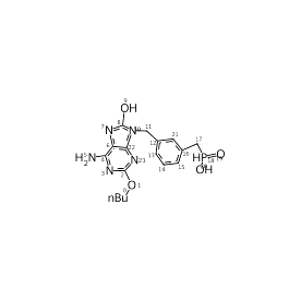 CCCCOc1nc(N)c2nc(O)n(Cc3cccc(C[PH](=O)O)c3)c2n1